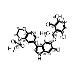 Cc1ncc(Cl)c([C@@H](C)Oc2cc3c(-c4cnc5c(c4)N(S(C)(=O)=O)CCO5)n[nH]c3cc2Cl)c1Cl